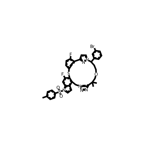 Cc1ccc(S(=O)(=O)n2ccc3c4c(c(F)cc32)Sc2ccc(F)c(c2)-c2ccn(n2)C(c2cccc(Br)c2)CCOCC(C)(C)c2cn(nn2)C4)cc1